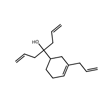 C=CCC1=CCCC(C(O)(CC=C)CC=C)C1